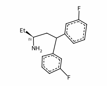 CC[C@H](N)CC(c1cccc(F)c1)c1cccc(F)c1